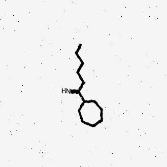 CCCC[CH]C(=N)C1CCCCCC1